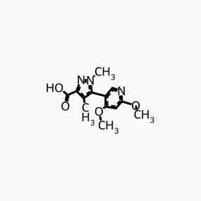 COc1cc(OC)c(-c2c(C)c(C(=O)O)nn2C)cn1